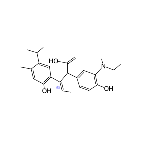 C=C(O)C(/C(=C\C)c1cc(C(C)C)c(C)cc1O)c1ccc(O)c(N(C)CC)c1